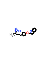 CC(CCCc1ccc(OCc2ccc3ccccc3n2)cc1)c1nnn[nH]1